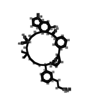 CC1(C)CCCC(c2cccc(CCC(=O)O)c2)n2ccc(n2)-c2cccc(c2)C(=O)c2c(F)cc3[nH]ccc3c2CCS(=O)(=O)C1